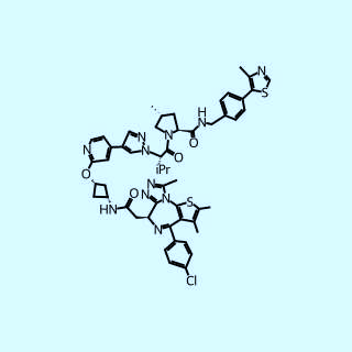 Cc1ncsc1-c1ccc(CNC(=O)[C@@H]2C[C@@H](C)CN2C(=O)[C@H](C(C)C)n2cc(-c3ccnc(O[C@H]4C[C@@H](NC(=O)C[C@@H]5N=C(c6ccc(Cl)cc6)c6c(sc(C)c6C)-n6c(C)nnc65)C4)c3)cn2)cc1